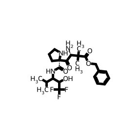 CC(C)C(NC(=O)[C@]1(C(=O)[C@H](N)C(C)(C)C(=O)OCc2ccccc2)CCCN1)C(O)C(F)(F)F